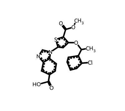 COC(=O)c1sc(-n2cnc3cc(C(=O)O)ccc32)cc1OC(C)c1ccccc1Cl